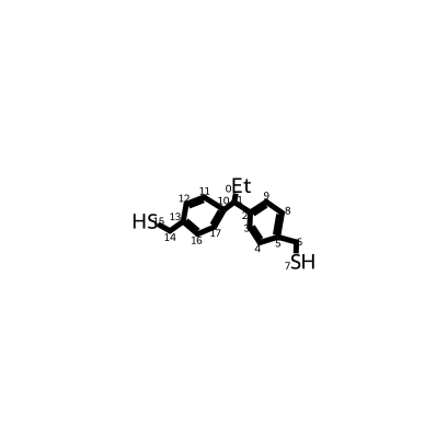 CCC(c1ccc(CS)cc1)c1ccc(CS)cc1